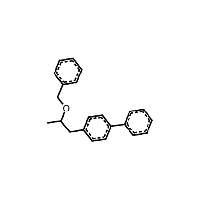 CC(Cc1ccc(-c2ccccc2)cc1)OCc1ccccc1